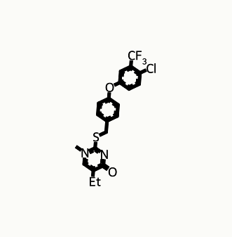 CCc1cn(C)c(SCc2ccc(Oc3ccc(Cl)c(C(F)(F)F)c3)cc2)nc1=O